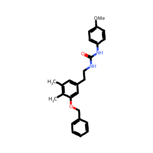 COc1ccc(NC(=O)NCCc2cc(C)c(C)c(OCc3ccccc3)c2)cc1